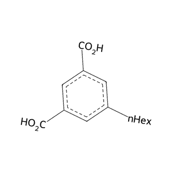 CCCCCCc1cc(C(=O)O)cc(C(=O)O)c1